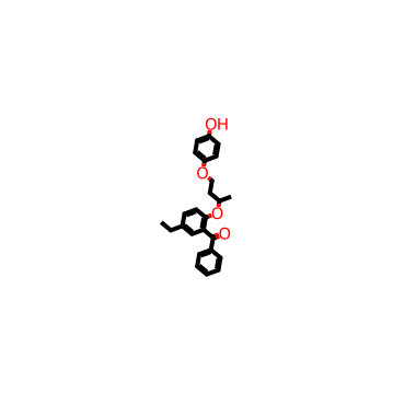 CCc1ccc(OC(C)CCOc2ccc(O)cc2)c(C(=O)c2ccccc2)c1